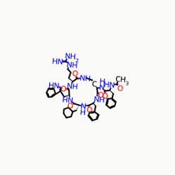 CC(=O)N[C@@H](Cc1ccccc1)C(=O)NC1CCCNC(=O)[C@H](CCCNC(=N)N)NC(=O)[C@H](Cc2c[nH]c3ccccc23)NC(=O)[C@@H](CC2CCCCC2)NC(=O)[C@H](Cc2ccccc2)NC1=O